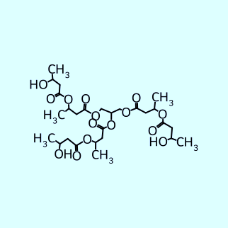 CC(O)CC(=O)OC(C)CC(=O)OCC(COC(=O)CC(C)OC(=O)CC(C)O)OC(=O)CC(C)OC(=O)CC(C)O